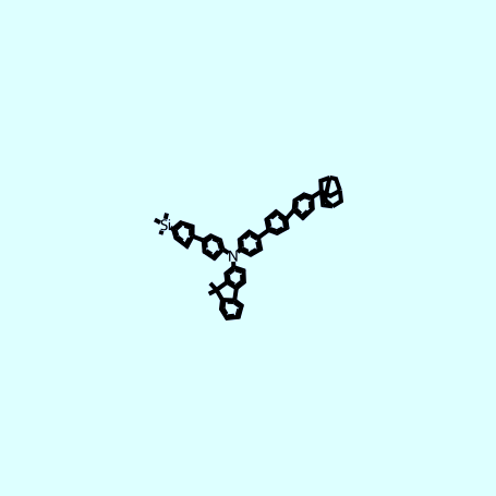 CC1(C)c2ccccc2-c2ccc(N(c3ccc(-c4ccc(-c5ccc(C67CC8CC(CC(C8)C6)C7)cc5)cc4)cc3)c3ccc(-c4ccc([Si](C)(C)C)cc4)cc3)cc21